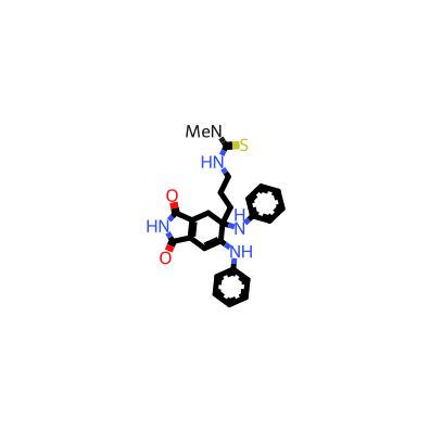 CNC(=S)NCCCC1(Nc2ccccc2)CC2=C(C=C1Nc1ccccc1)C(=O)NC2=O